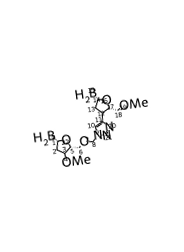 B[C@H]1CC(OC)[C@@H](COCn2cc(C3C[C@H](B)O[C@@H]3COC)nn2)O1